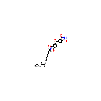 CCCCCCCCC(C)C(C)CCCCCCCCC(C)(C)N1C(=O)c2ccc(C(=O)c3ccc4c(c3)C(=O)NC4=O)cc2C1=O